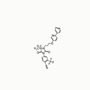 CC1(C)C(=O)N(c2ccc(C#N)c(C(F)(F)F)c2)C(=O)N1CCCOc1ccc(-c2ccncc2)nc1